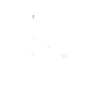 COc1cnc(N2CC[C@@H](F)C2)nc1N